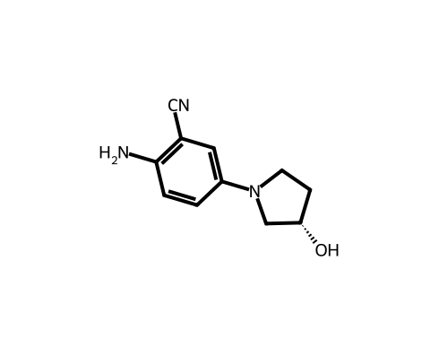 N#Cc1cc(N2CC[C@H](O)C2)ccc1N